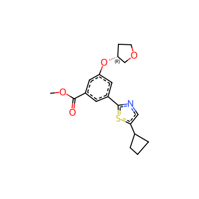 COC(=O)c1cc(O[C@@H]2CCOC2)cc(-c2ncc(C3CCC3)s2)c1